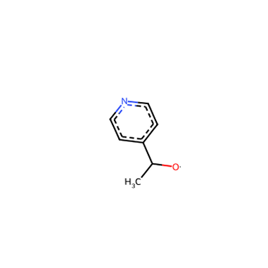 CC([O])c1ccncc1